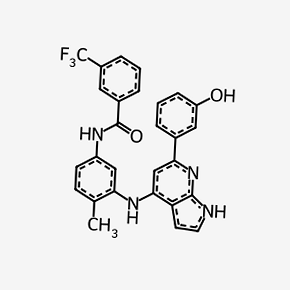 Cc1ccc(NC(=O)c2cccc(C(F)(F)F)c2)cc1Nc1cc(-c2cccc(O)c2)nc2[nH]ccc12